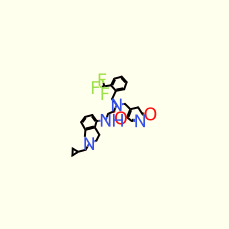 O=C1CC(CN(Cc2ccccc2C(F)(F)F)C(=O)CNc2cccc3c2CCN(CC2CC2)C3)=CC=N1